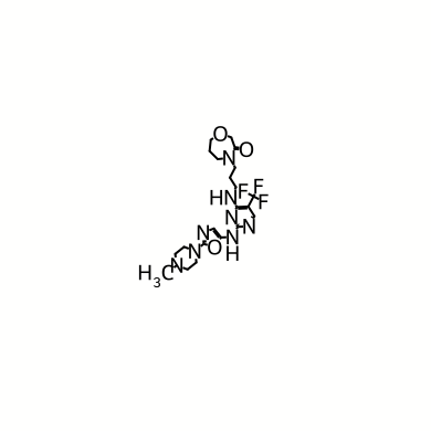 CN1CCN(c2ncc(Nc3ncc(C(F)(F)F)c(NCCCN4CCCOCC4=O)n3)o2)CC1